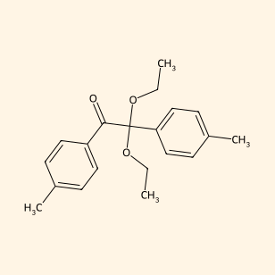 CCOC(OCC)(C(=O)c1ccc(C)cc1)c1ccc(C)cc1